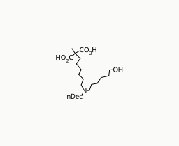 CCCCCCCCCCN(CCCCCCO)CCCCCCC(C)(C(=O)O)C(=O)O